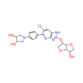 O[C@@H]1COC2C1OC[C@H]2Oc1nc2nc(-c3ccc(N4C[C@@H](O)[C@@H](O)C4)cc3)c(Cl)cc2[nH]1